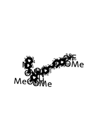 COc1cc(NC(=O)c2cnc3ccccc3c2)c(C(=O)Nc2ccc(CCN3CCc4cc(OCC[18F])c(OC)cc4C3)cc2)cc1OC